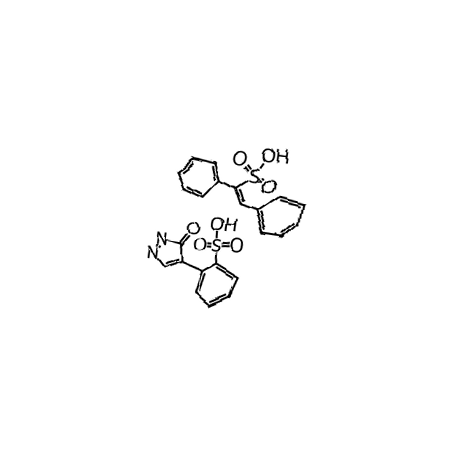 O=C1N=NC=C1c1ccccc1S(=O)(=O)O.O=S(=O)(O)C(=Cc1ccccc1)c1ccccc1